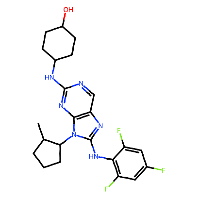 CC1CCCC1n1c(Nc2c(F)cc(F)cc2F)nc2cnc(NC3CCC(O)CC3)nc21